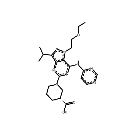 CCOCCn1nc(C(C)C)c2nc(N3CCC[C@@H](C(=O)O)C3)nc(Nc3ccncn3)c21